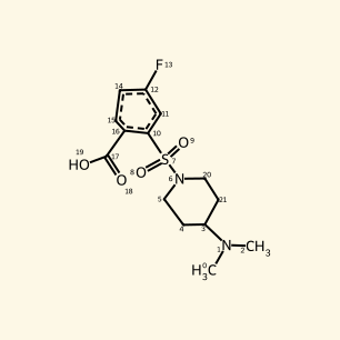 CN(C)C1CCN(S(=O)(=O)c2cc(F)ccc2C(=O)O)CC1